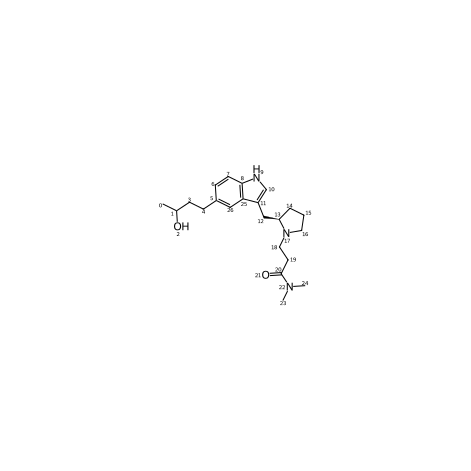 CC(O)CCc1ccc2[nH]cc(C[C@H]3CCCN3CCC(=O)N(C)C)c2c1